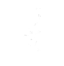 O=C1c2ccc(Br)cc2C(=O)N1CC#CCN1CCCC1